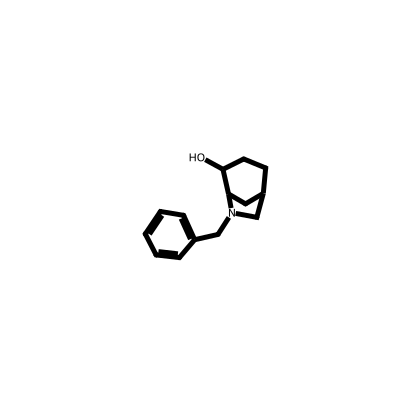 OC1CCC2CC1N(Cc1ccccc1)C2